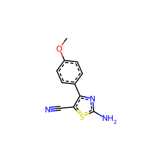 COc1ccc(-c2nc(N)sc2C#N)cc1